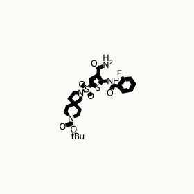 CC(C)(C)OC(=O)N1CCC2(CC1)CCN(S(=O)(=O)c1cc(C(N)=O)c(NC(=O)c3ccccc3F)s1)C2